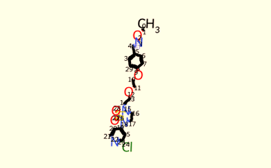 CCO/N=C/c1ccc(OCCOCCN2CCN(c3ccnc(Cl)c3)S2(=O)=O)cc1